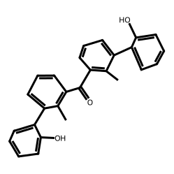 Cc1c(C(=O)c2cccc(-c3ccccc3O)c2C)cccc1-c1ccccc1O